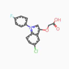 O=C(O)COc1cn(-c2ccc(F)cc2)c2ccc(Cl)cc12